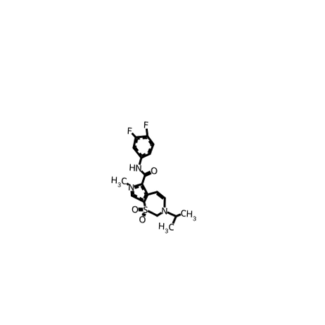 CC(C)N1C=Cc2c(cn(C)c2C(=O)Nc2ccc(F)c(F)c2)S(=O)(=O)C1